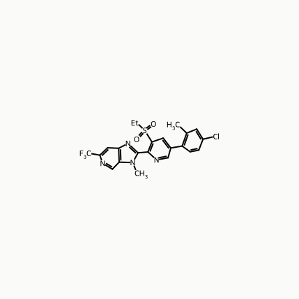 CCS(=O)(=O)c1cc(-c2ccc(Cl)cc2C)cnc1-c1nc2cc(C(F)(F)F)ncc2n1C